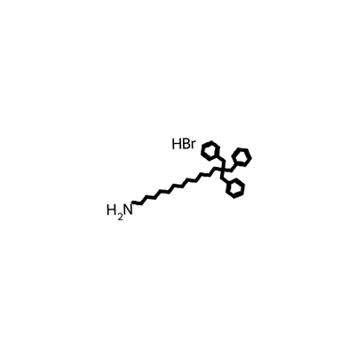 Br.NCCCCCCCCCCCCCC(Cc1ccccc1)(Cc1ccccc1)Cc1ccccc1